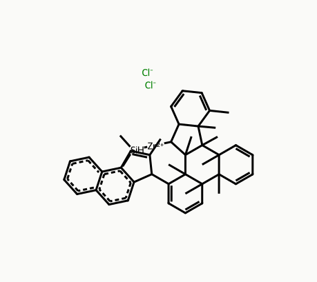 CC1=Cc2c(ccc3ccccc23)C1C1=CC=CC2(C)C3(C)C=CC=CC3(C)C3(C)C4(C)C(C)=CC=CC4[CH]([Zr+2][SiH](C)C)C3(C)C12C.[Cl-].[Cl-]